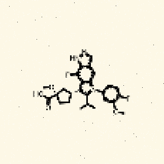 COc1cc(-n2c(C(C)C)c([C@@H]3CC[C@@](OC)(C(=O)O)C3)c3c(F)c4[nH]ncc4cc32)ccc1F